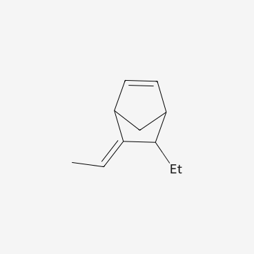 CC=C1C2C=CC(C2)C1CC